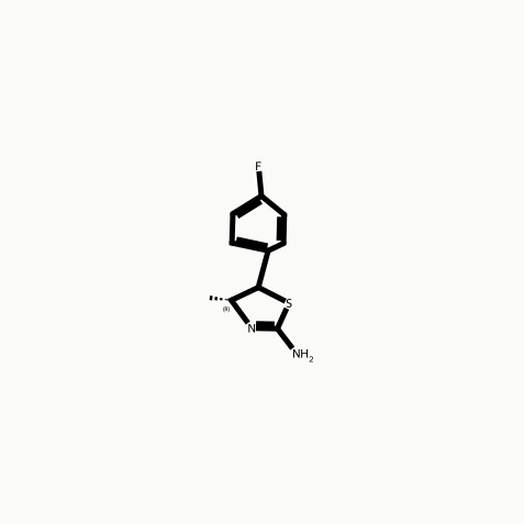 C[C@H]1N=C(N)SC1c1ccc(F)cc1